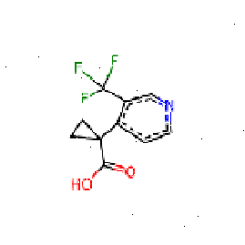 O=C(O)C1(c2ccncc2C(F)(F)F)CC1